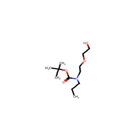 CCCN(CCOCCO)C(=O)OC(C)(C)C